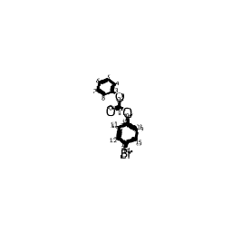 O=C(Oc1ccccc1)Oc1ccc(Br)cc1